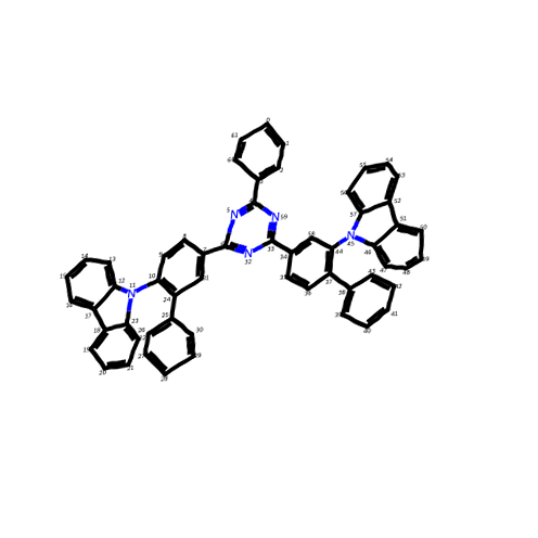 c1ccc(-c2nc(-c3ccc(-n4c5ccccc5c5ccccc54)c(-c4ccccc4)c3)nc(-c3ccc(-c4ccccc4)c(-n4c5ccccc5c5ccccc54)c3)n2)cc1